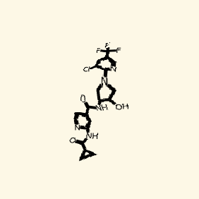 O=C(NC1CN(c2ncc(C(F)(F)F)cc2Cl)CC1O)c1ccnc(NC(=O)C2CC2)c1